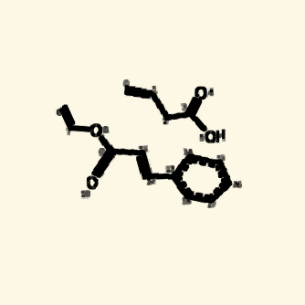 C=CCC(=O)O.C=COC(=O)C=Cc1ccccc1